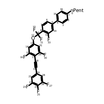 CCCCCc1ccc(-c2ccc(C(F)(F)Oc3cc(F)c(C#Cc4cc(F)c(F)c(F)c4)c(F)c3)c(F)c2)cc1